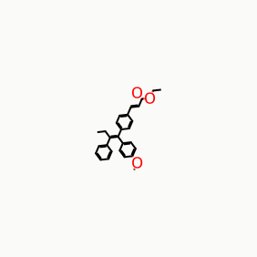 CCOC(=O)/C=C/c1ccc(/C(=C(\CC)c2ccccc2)c2ccc(OC)cc2)cc1